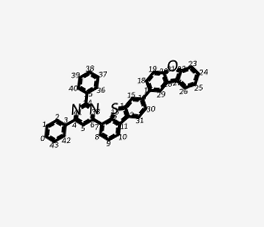 c1ccc(-c2cc(-c3cccc4c3sc3cc(-c5ccc6oc7ccccc7c6c5)ccc34)nc(-c3ccccc3)n2)cc1